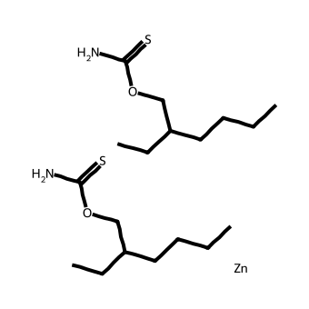 CCCCC(CC)COC(N)=S.CCCCC(CC)COC(N)=S.[Zn]